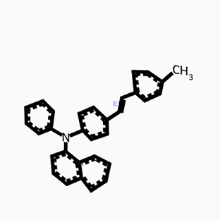 Cc1ccc(/C=C/c2ccc(N(c3ccccc3)c3cccc4ccccc34)cc2)cc1